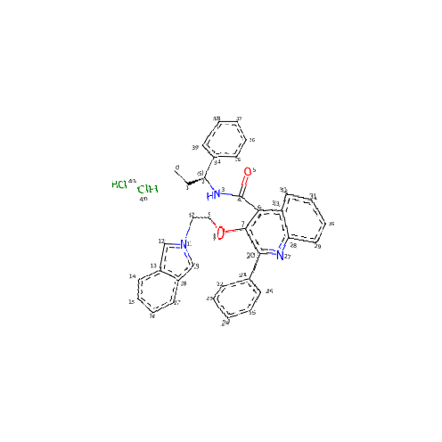 CC[C@H](NC(=O)c1c(OCCn2cc3ccccc3c2)c(-c2ccccc2)nc2ccccc12)c1ccccc1.Cl.Cl